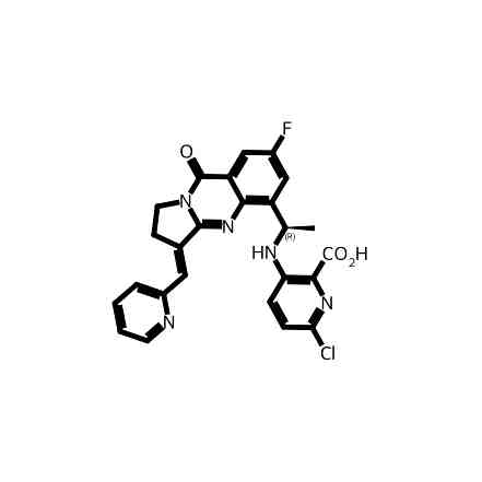 C[C@@H](Nc1ccc(Cl)nc1C(=O)O)c1cc(F)cc2c(=O)n3c(nc12)C(=Cc1ccccn1)CC3